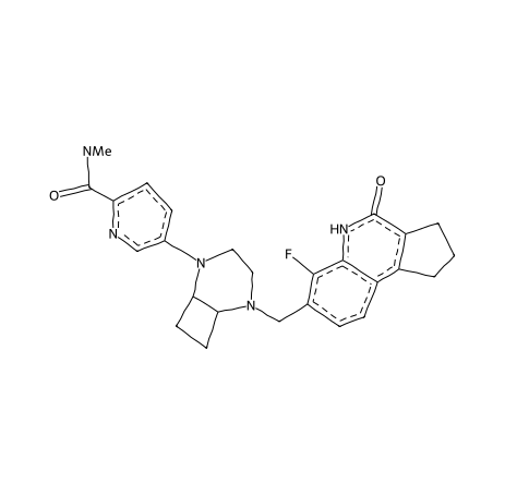 CNC(=O)c1ccc(N2CCN(Cc3ccc4c5c(c(=O)[nH]c4c3F)CCC5)C3CCC32)cn1